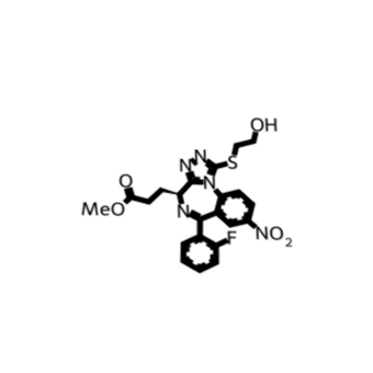 COC(=O)CC[C@@H]1N=C(c2ccccc2F)c2cc([N+](=O)[O-])ccc2-n2c(SCCO)nnc21